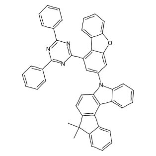 CC1(C)c2ccccc2-c2c1ccc1c2c2ccccc2n1-c1cc(-c2nc(-c3ccccc3)nc(-c3ccccc3)n2)c2c(c1)oc1ccccc12